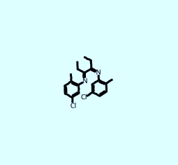 CCC(=Nc1cc(Cl)ccc1C)C(CC)=Nc1cc(Cl)ccc1C